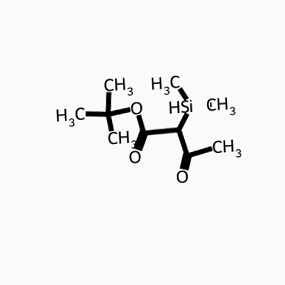 CC(=O)C(C(=O)OC(C)(C)C)[SiH](C)C